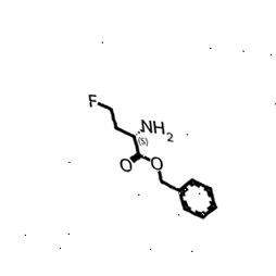 N[C@@H](CCF)C(=O)OCc1ccccc1